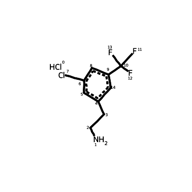 Cl.NCCc1cc(Cl)cc(C(F)(F)F)c1